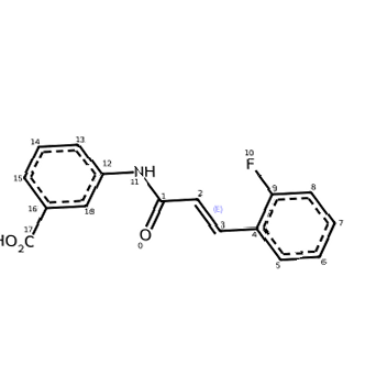 O=C(/C=C/c1ccccc1F)Nc1cccc(C(=O)O)c1